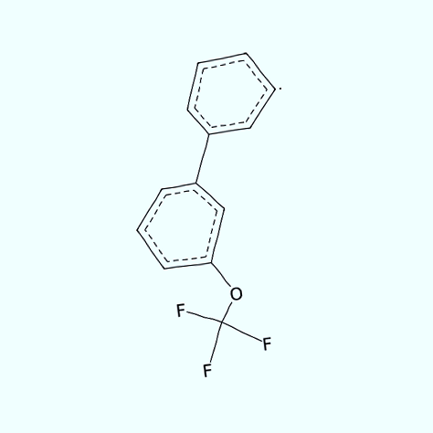 FC(F)(F)Oc1cccc(-c2c[c]ccc2)c1